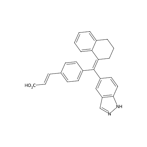 O=C(O)/C=C/c1ccc(/C(=C2/CCCc3ccccc32)c2ccc3[nH]ncc3c2)cc1